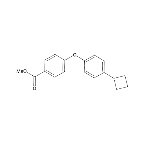 COC(=O)c1ccc(Oc2ccc(C3CCC3)cc2)cc1